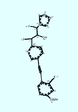 COc1ccc(C#Cc2ccc(C(F)C(O)C(F)n3cnnn3)nc2)c(F)c1